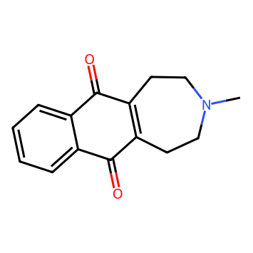 CN1CCC2=C(CC1)C(=O)c1ccccc1C2=O